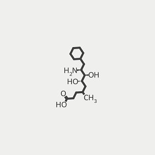 CC(CCC(=O)O)C[C@H](O)[C@H](O)[C@@H](N)CC1CCCCC1